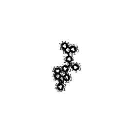 c1ccc(N(c2ccc(-c3cc4ccccc4c4ccccc34)cc2)c2cccc(-c3cccc4c3c3c5ccccc5ccc3n4-c3ccccc3)c2)cc1